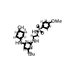 COc1ccc(S(=O)(=O)NCCNc2nc(Nc3ccc(C)cc3)cc(C(C)(C)C)n2)cc1